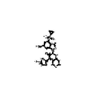 Nc1cc(S(=O)(=O)C2CC2)c2cnn(C(CC3CCOCC3)C(=O)Nc3ncc(F)s3)c2c1